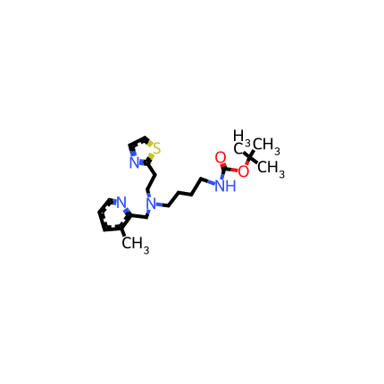 Cc1cccnc1CN(CCCCNC(=O)OC(C)(C)C)CCc1nccs1